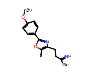 CCCCOc1ccc(-c2nc(CCC(=N)C(C)CC)c(C)o2)cc1